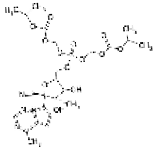 Cc1ncnn2c([C@]3(C#N)O[C@H](COP(=O)(OCOC(=O)OC(C)C)OCOC(=O)OC(C)C)[C@@H](O)[C@@]3(C)O)ccc12